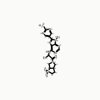 CCC(Nc1ncnc2c1nc(-c1cnc(C)nc1)n2CC)C(=O)N1CC2CCS(=O)(=O)C2C1